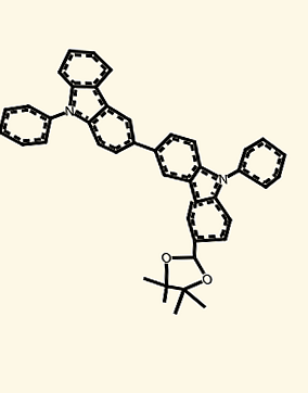 CC1(C)OC(c2ccc3c(c2)c2cc(-c4ccc5c(c4)c4ccccc4n5-c4ccccc4)ccc2n3-c2ccccc2)OC1(C)C